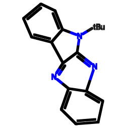 CC(C)(C)n1c2ccccc2c2nc3ccccc3nc21